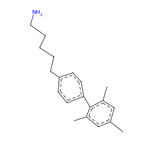 Cc1cc(C)c(-c2ccc(CCCCCN)cc2)c(C)c1